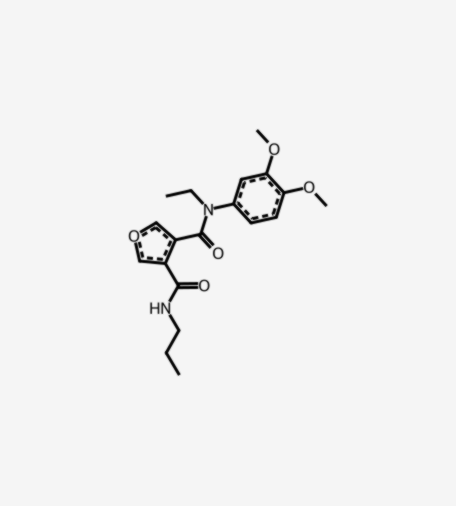 CCCNC(=O)c1cocc1C(=O)N(CC)c1ccc(OC)c(OC)c1